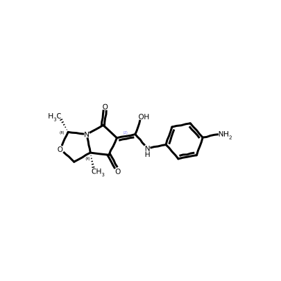 C[C@H]1OC[C@]2(C)C(=O)/C(=C(/O)Nc3ccc(N)cc3)C(=O)N12